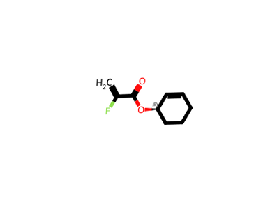 C=C(F)C(=O)O[C@H]1C=CCCC1